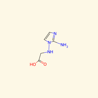 Nc1nccn1NCC(=O)O